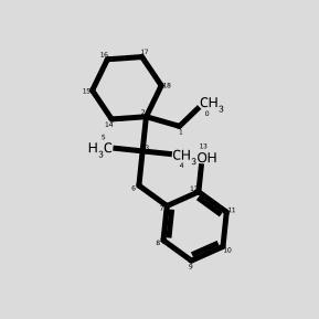 CCC1(C(C)(C)Cc2ccccc2O)CCCCC1